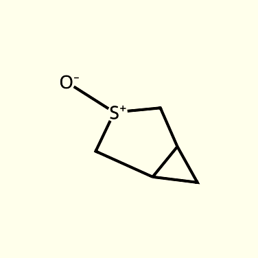 [O-][S+]1CC2CC2C1